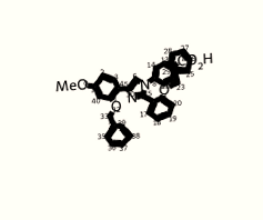 COc1ccc(-c2cn(-c3ccc(C(=O)O)cc3)c(-c3ccccc3OCc3ccccc3)n2)c(OCc2ccccc2)c1